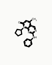 Cc1cc(=O)n(C2CCCC2)c2nc(Nc3ccccc3)ncc12